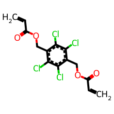 C=CC(=O)OCc1c(Cl)c(Cl)c(COC(=O)C=C)c(Cl)c1Cl